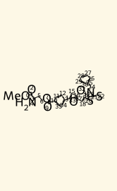 COC(=O)C(N)CCOC(=O)c1ccc(-c2ccc(/C=C3/SC(=S)N(Cc4ccccc4)C3=O)o2)cc1